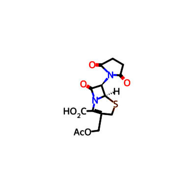 CC(=O)OCC1=C(C(=O)O)N2C(=O)[C@@H](N3C(=O)CCC3=O)[C@H]2SC1